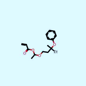 C=CC(=O)OC(C)OCCC(C)(CC)Oc1ccccc1